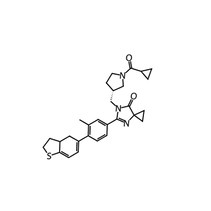 Cc1cc(C2=NC3(CC3)C(=O)N2C[C@@H]2CCN(C(=O)C3CC3)C2)ccc1C1=CC=C2SCCC2C1